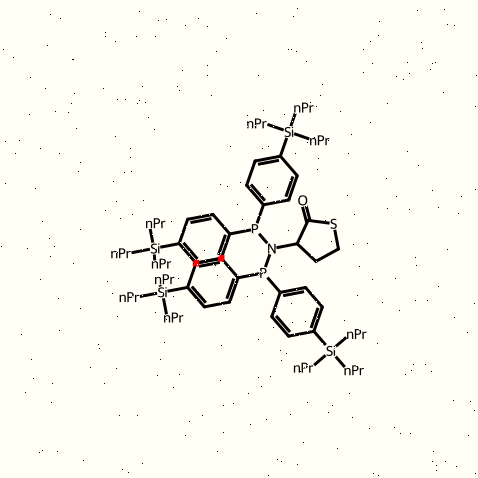 CCC[Si](CCC)(CCC)c1ccc(P(c2ccc([Si](CCC)(CCC)CCC)cc2)N(C2CCSC2=O)P(c2ccc([Si](CCC)(CCC)CCC)cc2)c2ccc([Si](CCC)(CCC)CCC)cc2)cc1